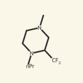 CCCN1CCN(C)CC1C(F)(F)F